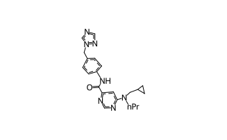 CCCN(CC1CC1)c1cc(C(=O)Nc2ccc(Cn3cncn3)cc2)ncn1